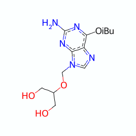 CC(C)COc1nc(N)nc2c1ncn2COC(CO)CO